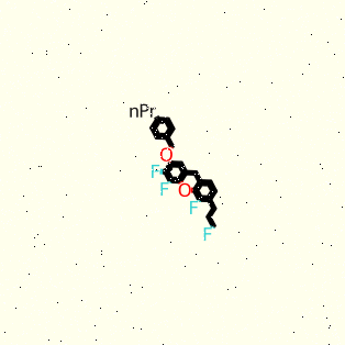 CCCc1ccc(COc2cc3c(c(F)c2F)Oc2c(ccc(CCCF)c2F)C3)cc1